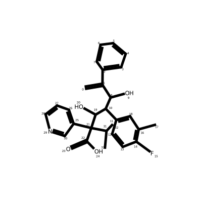 C=C(c1ccccc1)C(O)C(c1ccc(F)c(C)c1)C(O)C(C(=O)O)(c1cccnc1)C(C)C